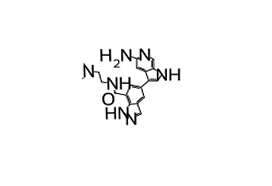 CN(C)CCNC(=O)c1cc(-c2c[nH]c3cnc(N)cc23)cc2cn[nH]c12